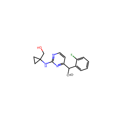 O=[C]C(c1ccnc(NC2(CO)CC2)n1)c1ccccc1F